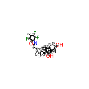 Cc1c(F)c(F)c2nc(CCC(C)[C@H]3CC[C@H]4[C@@H]5[C@@H](O)C[C@@H]6C[C@H](O)CC[C@]6(C)[C@H]5CC[C@]34C)oc2c1F